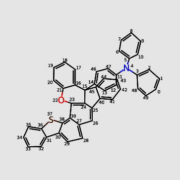 c1ccc(N(c2ccccc2)c2ccc(C34c5ccccc5Oc5c3c(cc3ccc6c7ccccc7sc6c53)-c3ccccc34)cc2)cc1